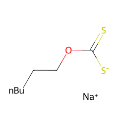 CCCCCCOC(=S)[S-].[Na+]